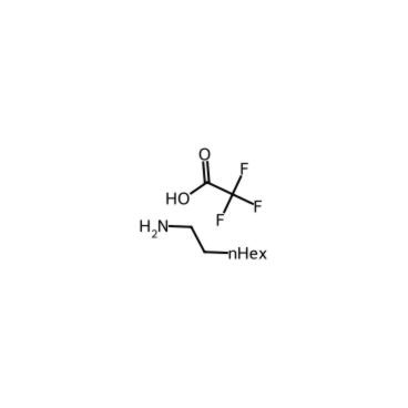 CCCCCCCCN.O=C(O)C(F)(F)F